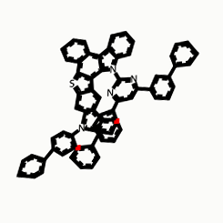 c1ccc(-c2ccc(-c3cc(-c4cccc(-c5ccccc5)c4)nc(-n4c5ccccc5c5c6ccccc6c6sc7cc8c(cc7c6c54)c4ccccc4n8-c4ccc(-c5ccccc5)cc4)n3)cc2)cc1